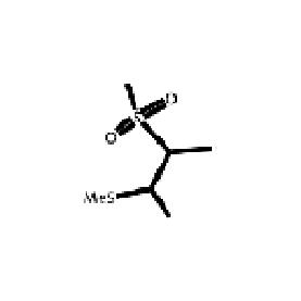 [CH2]C(C(C)SC)S(C)(=O)=O